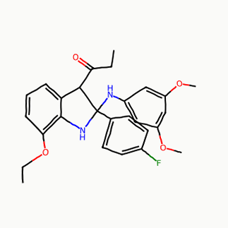 CCOc1cccc2c1NC(Nc1cc(OC)cc(OC)c1)(c1ccc(F)cc1)C2C(=O)CC